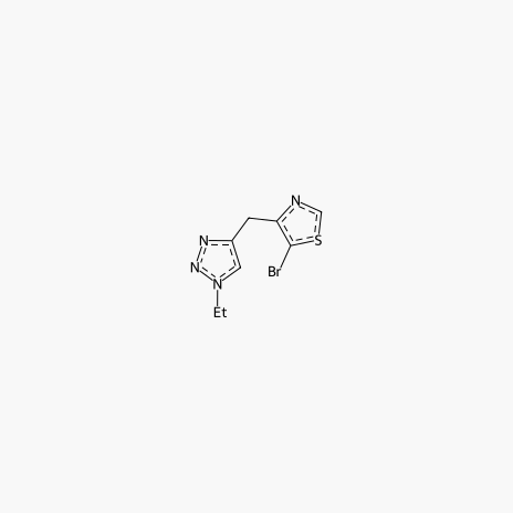 CCn1cc(Cc2ncsc2Br)nn1